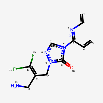 C=C/N=C(\C=C)n1cnn(CC(CN)=C(F)F)c1=O